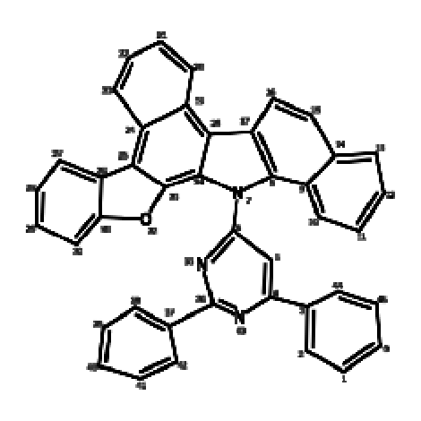 c1ccc(-c2cc(-n3c4c5ccccc5ccc4c4c5ccccc5c5c6ccccc6oc5c43)nc(-c3ccccc3)n2)cc1